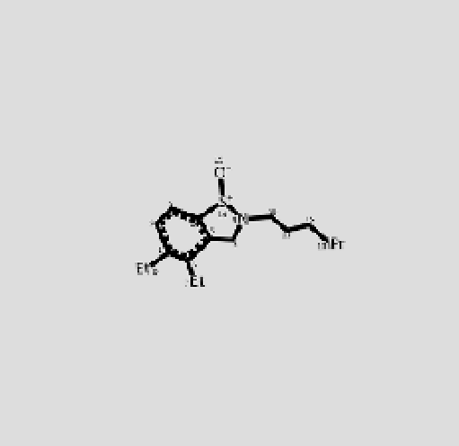 CCc1ccc2c(c1CC)CN(CCCC(C)C)[S+]2[O-]